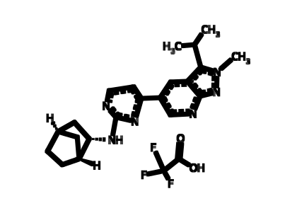 CC(C)c1c2cc(-c3ccnc(N[C@H]4C[C@@H]5CC[C@@H]4C5)n3)cnc2nn1C.O=C(O)C(F)(F)F